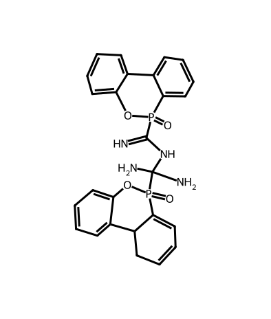 N=C(NC(N)(N)P1(=O)Oc2ccccc2C2CC=CC=C21)P1(=O)Oc2ccccc2-c2ccccc21